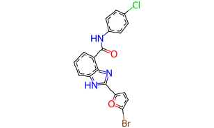 O=C(Nc1ccc(Cl)cc1)c1cccc2[nH]c(-c3ccc(Br)o3)nc12